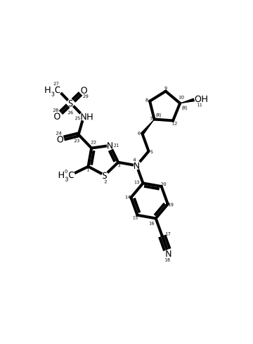 Cc1sc(N(CC[C@H]2CC[C@@H](O)C2)c2ccc(C#N)cc2)nc1C(=O)NS(C)(=O)=O